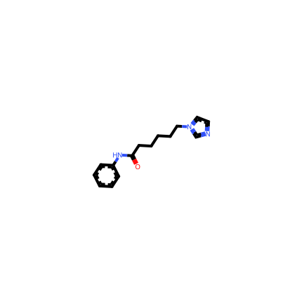 O=C(CCCCCn1ccnc1)Nc1ccccc1